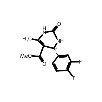 COC(=O)C1=C(C)NC(=O)N[C@@H]1c1ccc(F)c(F)c1